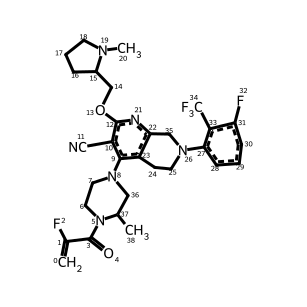 C=C(F)C(=O)N1CCN(c2c(C#N)c(OCC3CCCN3C)nc3c2CCN(c2cccc(F)c2C(F)(F)F)C3)CC1C